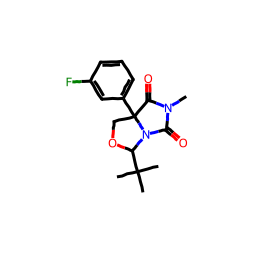 CN1C(=O)N2C(C(C)(C)C)OCC2(c2cccc(F)c2)C1=O